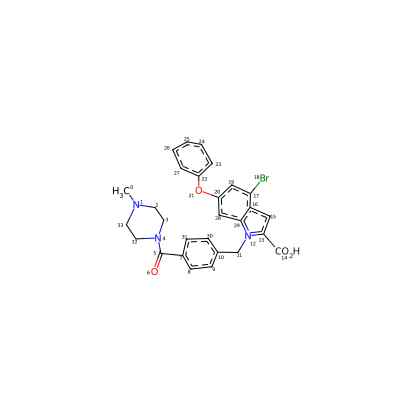 CN1CCN(C(=O)c2ccc(Cn3c(C(=O)O)cc4c(Br)cc(Oc5ccccc5)cc43)cc2)CC1